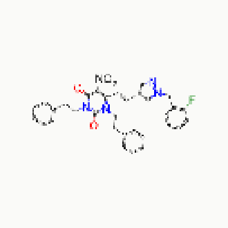 O=c1c([N+](=O)[O-])c(C=Cc2cnn(Cc3ccccc3F)c2)n(CCc2ccccc2)c(=O)n1CCc1ccccc1